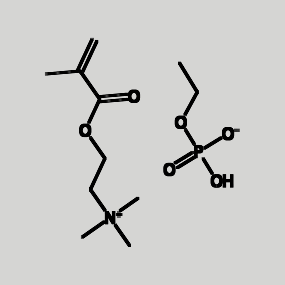 C=C(C)C(=O)OCC[N+](C)(C)C.CCOP(=O)([O-])O